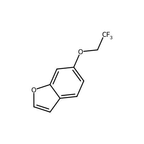 FC(F)(F)COc1ccc2ccoc2c1